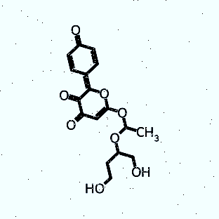 CC(OC1=CC(=O)C(=O)C(=C2C=CC(=O)C=C2)O1)OC(CO)CCO